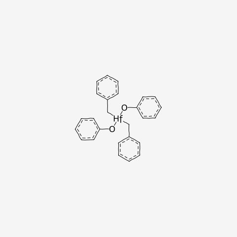 c1ccc([CH2][Hf]([CH2]c2ccccc2)([O]c2ccccc2)[O]c2ccccc2)cc1